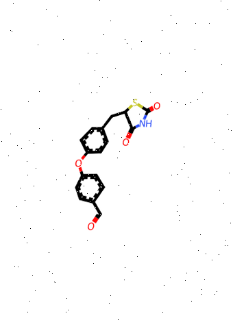 O=Cc1ccc(Oc2ccc(CC3SC(=O)NC3=O)cc2)cc1